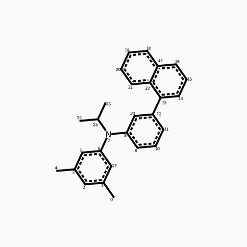 Cc1cc(C)cc(N(c2cccc(-c3cccc4ccccc34)c2)C(C)C)c1